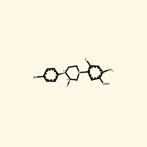 COc1cc(N2CC[C@H](c3ccc(Br)cc3)[C@H](F)C2)c(F)cc1N